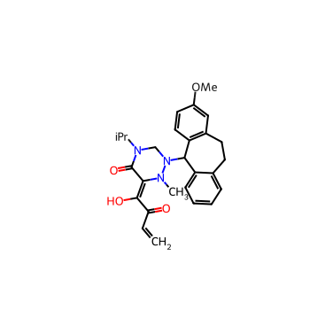 C=CC(=O)/C(O)=C1/C(=O)N(C(C)C)CN(C2c3ccccc3CCc3cc(OC)ccc32)N1C